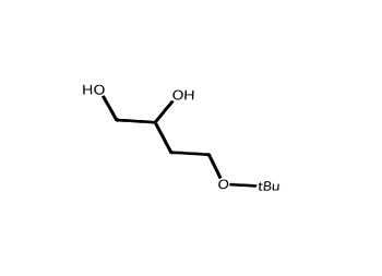 CC(C)(C)OCCC(O)CO